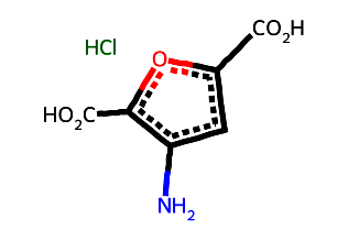 Cl.Nc1cc(C(=O)O)oc1C(=O)O